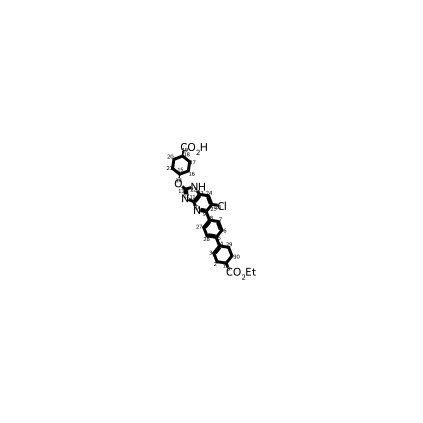 CCOC(=O)C1CC=C(c2ccc(-c3nc4nc(O[C@H]5CC[C@H](C(=O)O)CC5)[nH]c4cc3Cl)cc2)CC1